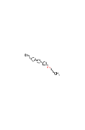 C=CCCCOCc1ccc(C2CCC(C3CCC(C=CCC)CC3)CC2)cc1